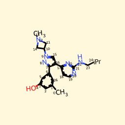 Cc1cc(O)cc(-c2nn(C3CN(C)C3)cc2-c2ccnc(NCC(C)C)n2)c1